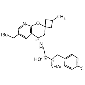 CC(=O)N[C@@H](Cc1ccc(Cl)cc1)[C@H](O)CN[C@H]1CC2(CC(C)C2)Oc2ncc(CC(C)(C)C)cc21